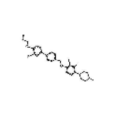 C=CCOc1ccc(-c2ccc(COc3ccc(C4CCC(C)CC4)c(F)c3F)cc2)cc1F